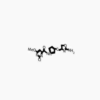 COc1cc(C(=O)Nc2ccc(CCC3COC(N)=N3)cc2)nc(Cl)n1